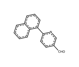 O=Cc1ccc(-c2cccc3ccccc23)nc1